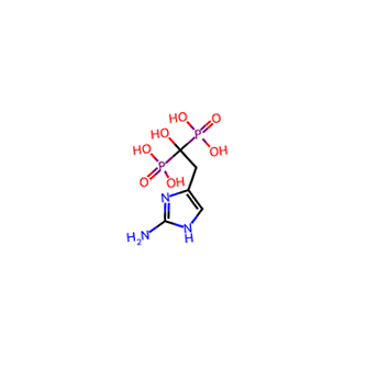 Nc1nc(CC(O)(P(=O)(O)O)P(=O)(O)O)c[nH]1